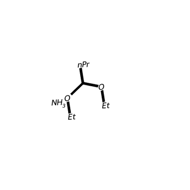 CCCC(OCC)OCC.N